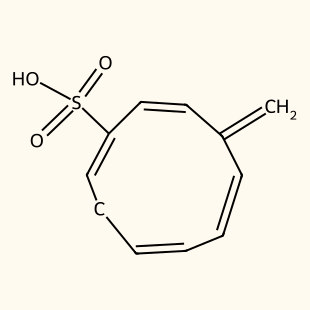 C=C1/C=C\C=C/C/C=C(S(=O)(=O)O)\C=C/1